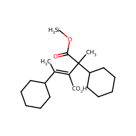 CC(=C(C(=O)O)C(C)(C(=O)O[SiH3])C1CCCCC1)C1CCCCC1